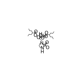 CCCC(CCC)C(=O)OCO[PH](O)(CCN1CCCNc2c1c(=O)c2=O)OCOC(=O)C(CCC)CCC